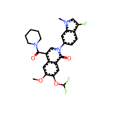 COc1cc2c(C(=O)N3CCCCC3)cn(-c3ccc4c(F)cn(C)c4c3)c(=O)c2cc1OC(F)F